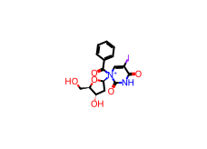 O=C1NC(=O)[N+](C(=O)c2ccccc2)([C@H]2C[C@H](O)[C@@H](CO)O2)C=C1I